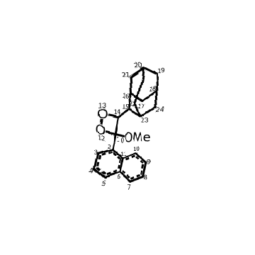 COC1(c2cccc3ccccc23)OOC1C1C2CC3CC(C2)CC1C3